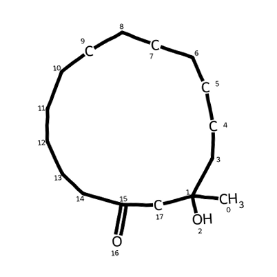 CC1(O)CCCCCCCCCCCCC(=O)C1